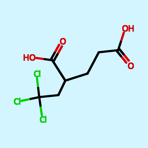 O=C(O)CCC(CC(Cl)(Cl)Cl)C(=O)O